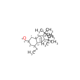 CCC1CC(C=O)CC2C3CC(C12)C(C(C)(C)C)C3C(C)(C)C